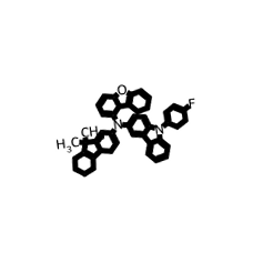 CC1(C)C2=CC(N(C3=CC=CC4OC5=C(CCC=C5)C34)c3ccc4c(c3)c3ccccc3n4C3=CC=C(F)CC3)=CCC2C2=C1CCCC2